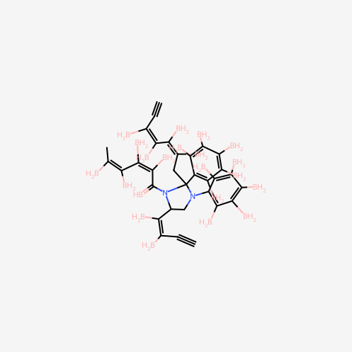 B=C(/C(B)=C(B)\C(B)=C(\B)C)N1C(/C(B)=C(/B)C#C)CN(c2c(B)c(B)c(B)c(B)c2B)C1(C/C(B)=C(B)\C(B)=C(\B)C#C)c1c(B)c(B)c(B)c(B)c1B